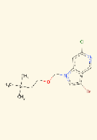 C[Si](C)(C)CCOCn1cc(Br)c2cnc(Cl)cc21